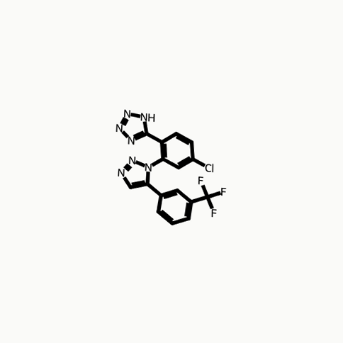 FC(F)(F)c1cccc(-c2cnnn2-c2cc(Cl)ccc2-c2nnn[nH]2)c1